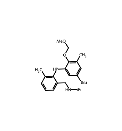 COCOc1c(C)cc(C(C)(C)C)cc1Pc1c(C)cccc1CNC(C)C